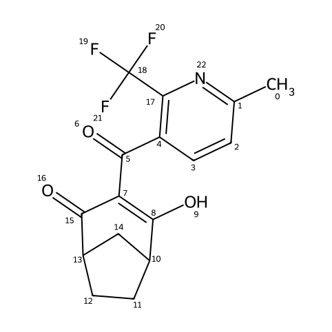 Cc1ccc(C(=O)C2=C(O)C3CCC(C3)C2=O)c(C(F)(F)F)n1